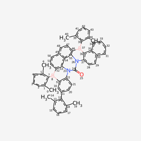 Cc1cccc(C)c1B1c2cc(-c3c(C)cccc3C)ccc2N2C(=O)N3c4ccc5ccccc5c4B(c4c(C)cccc4C)c4ccc5ccc1c2c5c43